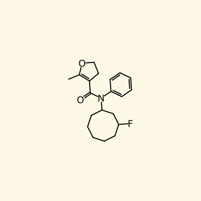 CC1=C(C(=O)N(c2ccccc2)C2CCCCCC(F)C2)CCO1